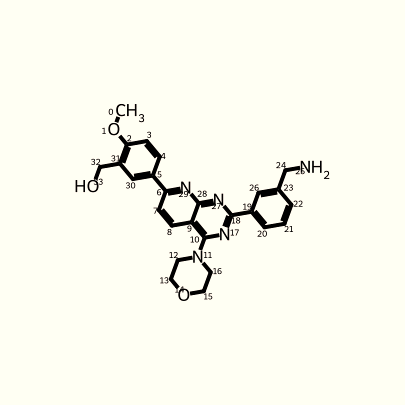 COc1ccc(-c2ccc3c(N4CCOCC4)nc(-c4cccc(CN)c4)nc3n2)cc1CO